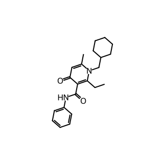 CCc1c(C(=O)Nc2ccccc2)c(=O)cc(C)n1CC1CCCCC1